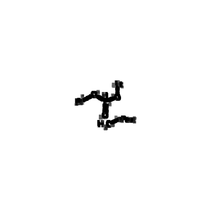 CCCCCC.CCO[PH](=O)OCC